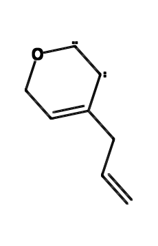 C=CCC1=CCO[C][C]1